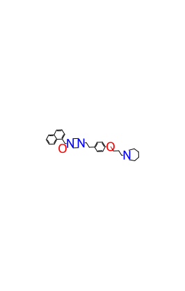 O=C(c1cccc2ccccc12)N1CCN(CCc2ccc(OCCCN3CCCCCC3)cc2)CC1